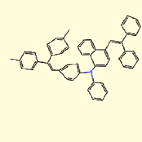 Cc1ccc(C(=Cc2ccc(N(c3ccccc3)c3ccc(C=C(c4ccccc4)c4ccccc4)c4ccccc34)cc2)c2ccc(C)cc2)cc1